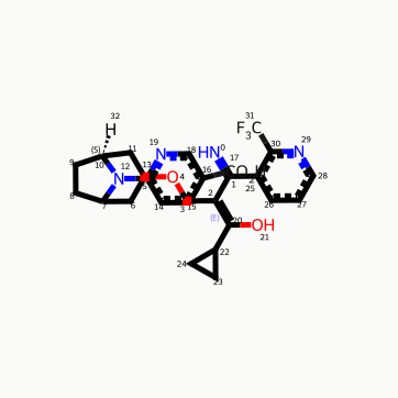 N=C(/C(COC1CC2CC[C@@H](C1)N2c1ccc(C(=O)O)cn1)=C(\O)C1CC1)c1cccnc1C(F)(F)F